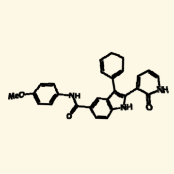 COc1ccc(NC(=O)c2ccc3[nH]c(-c4ccc[nH]c4=O)c(C4=CCCC=C4)c3c2)cc1